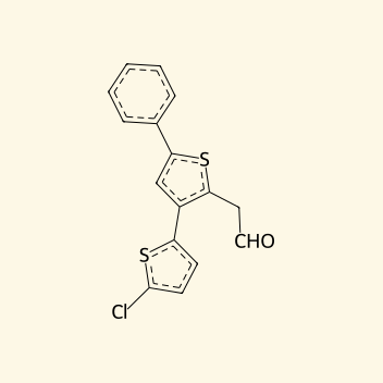 O=CCc1sc(-c2ccccc2)cc1-c1ccc(Cl)s1